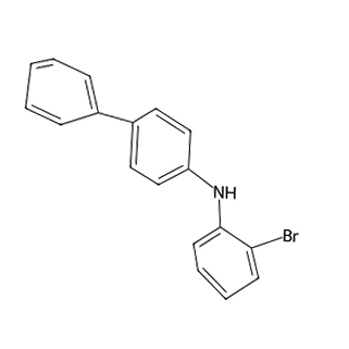 Brc1ccccc1Nc1ccc(-c2ccccc2)cc1